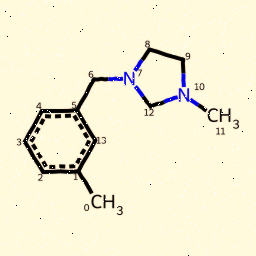 Cc1cccc(CN2CCN(C)C2)c1